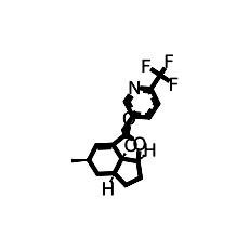 C[C@H]1C=C2C(=O)O[C@H]3CC[C@@H](C1)[C@@]23OCc1ccc(C(F)(F)F)nc1